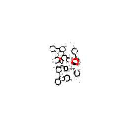 N#Cc1ccc2c(c1)c1ccccc1n2-c1cnc2c(c1)C1(c3cc(-n4c5ccccc5c5cc(C#N)ccc54)cnc3-2)c2cccc(N3c4ccccc4Sc4ccccc43)c2Oc2c(-n3c4ccccc4c4ccccc43)cccc21